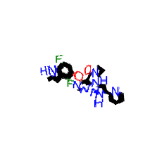 Cc1cc2c(F)c(Oc3ncnc(Nc4cc(-c5ccccn5)[nH]n4)c3C(=O)N3CCC3)cc(F)c2[nH]1